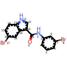 O=C(Nc1cccc(Br)c1)c1c[nH]c2ccc(Br)cc12